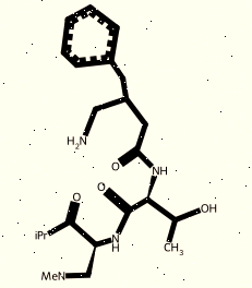 CNC[C@H](NC(=O)[C@@H](NC(=O)CC(CN)Cc1ccccc1)C(C)O)C(=O)C(C)C